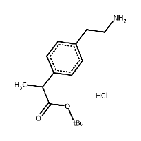 CC(C(=O)OC(C)(C)C)c1ccc(CCN)cc1.Cl